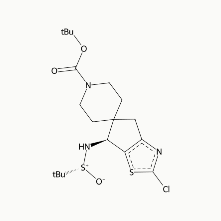 CC(C)(C)OC(=O)N1CCC2(CC1)Cc1nc(Cl)sc1[C@H]2N[S@+]([O-])C(C)(C)C